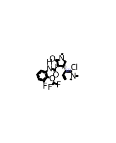 C=C/C(=C(/Cl)N(C)C)[C@H]1CN(C)C(=O)[C@@H]1C(=O)Nc1cccc(F)c1OC(F)F